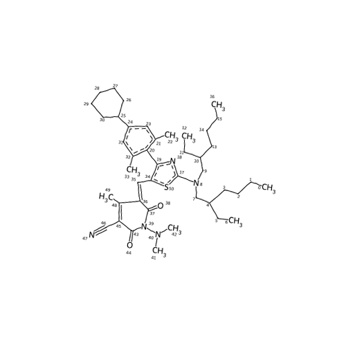 CCCCC(CC)CN(CC(CC)CCCC)c1nc(-c2c(C)cc(C3CCCCC3)cc2C)c(/C=C2\C(=O)N(N(C)C)C(=O)C(C#N)=C2C)s1